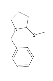 CSC1CCCN1Cc1ccccc1